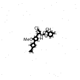 COc1cc(-c2sc(Cl)cc2NC(=O)OC(C)c2cccc(F)c2)ccc1-c1ccc(C2CC2)cc1